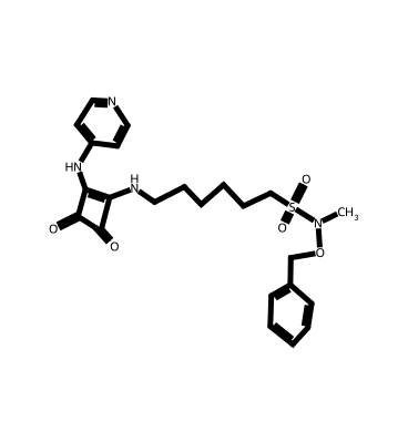 CN(OCc1ccccc1)S(=O)(=O)CCCCCCNc1c(Nc2ccncc2)c(=O)c1=O